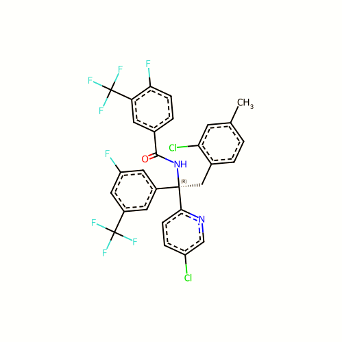 Cc1ccc(C[C@@](NC(=O)c2ccc(F)c(C(F)(F)F)c2)(c2cc(F)cc(C(F)(F)F)c2)c2ccc(Cl)cn2)c(Cl)c1